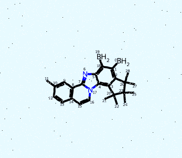 Bc1c2c(c3c(nc4c5cc(C)ccc5ccn43)c1B)C(C)(C)C(C)(C)C2(C)C